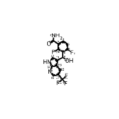 NC(=O)c1ccc(F)c(C(O)c2c[nH]c3ncc(C(F)(F)F)cc23)c1F